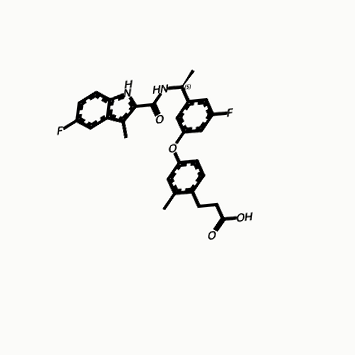 Cc1cc(Oc2cc(F)cc([C@H](C)NC(=O)c3[nH]c4ccc(F)cc4c3C)c2)ccc1CCC(=O)O